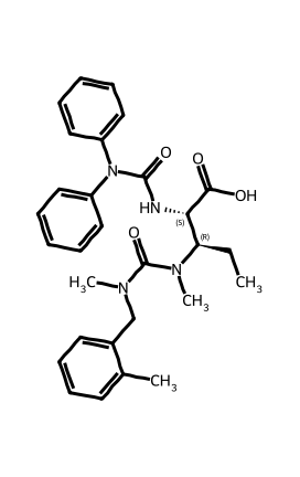 CC[C@H]([C@H](NC(=O)N(c1ccccc1)c1ccccc1)C(=O)O)N(C)C(=O)N(C)Cc1ccccc1C